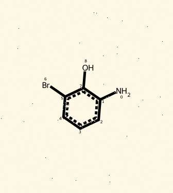 Nc1cc[c]c(Br)c1O